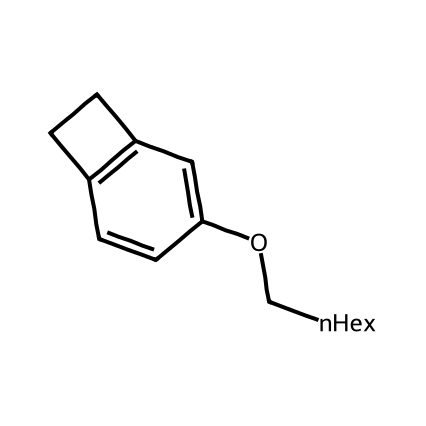 CCCCCCCOc1ccc2c(c1)CC2